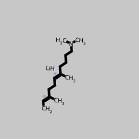 [CH2]/C=C(\C)CC/C=C(\C)CCCCN(C)C.[LiH]